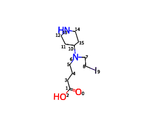 O=C(O)CCCN(CCI)C1CCNCC1